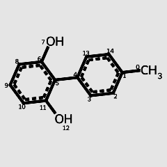 Cc1ccc(-c2c(O)cccc2O)cc1